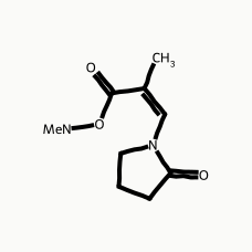 CNOC(=O)C(C)=CN1CCCC1=O